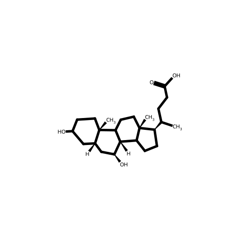 CC(CCC(=O)O)[C@H]1CCC2[C@H]3C(CC[C@@]21C)[C@@]1(C)CCC(O)C[C@H]1C[C@@H]3O